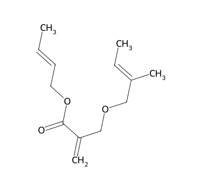 C=C(COCC(C)=CC)C(=O)OCC=CC